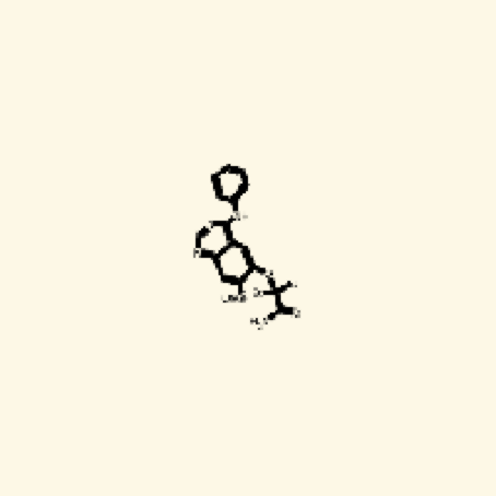 CCC(CC)(Oc1cc2c(Nc3ccccc3)ncnc2cc1OC)C(N)=O